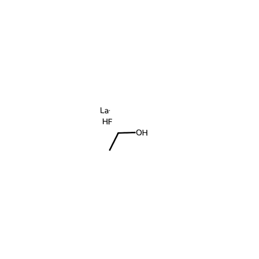 CCO.F.[La]